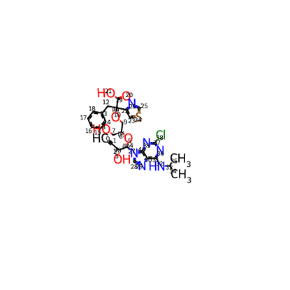 C#C[C@@H](O)[C@@H](O[C@@H](CO)CO[C@](Cc1ccccc1)(C(=O)O)c1cscn1)n1cnc2c(NC(C)C)nc(Cl)nc21